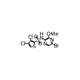 COc1nc(Br)cnc1NS(=O)(=O)c1scc(Cl)c1Cl